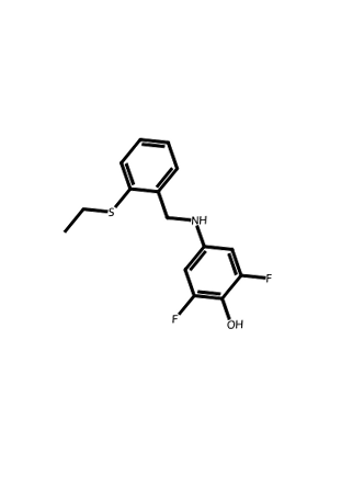 CCSc1ccccc1CNc1cc(F)c(O)c(F)c1